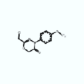 O=C1COC(CCl)=NN1c1ccc(OC(F)(F)F)cc1